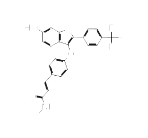 CNC(=O)/C=C/c1ccc(Oc2c(-c3ccc(C(F)(F)F)cc3)sc3cc(O)ccc23)cc1